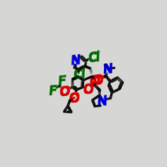 CN(C)C(=O)c1cccc(CN2CCC[C@H]2CC(=O)O[C@@H](Cc2c(Cl)cncc2Cl)c2ccc(OC(F)F)c(OCC3CC3)c2)c1